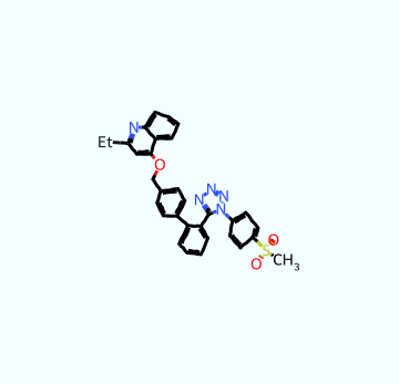 CCc1cc(OCc2ccc(-c3ccccc3-c3nnnn3-c3ccc(S(C)(=O)=O)cc3)cc2)c2ccccc2n1